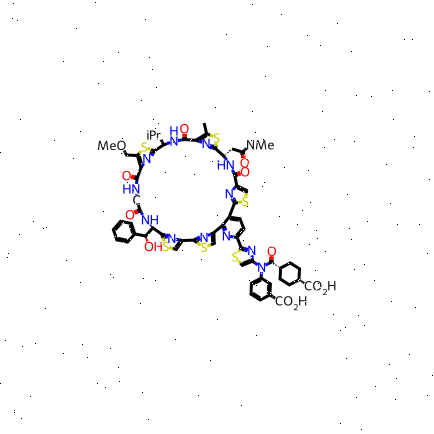 CNC(=O)C[C@@H]1NC(=O)c2csc(n2)-c2ccc(-c3nc(N(c4cccc(C(=O)O)c4)C(=O)[C@H]4CC[C@H](C(=O)O)CC4)cs3)nc2-c2csc(n2)-c2csc(n2)[C@H]([C@@H](O)c2ccccc2)NC(=O)CNC(=O)c2nc(sc2COC)C(C(C)C)NC(=O)c2nc1sc2C